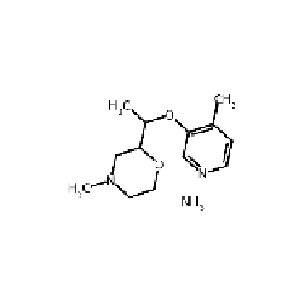 Cc1ccncc1OC(C)C1CN(C)CCO1.N